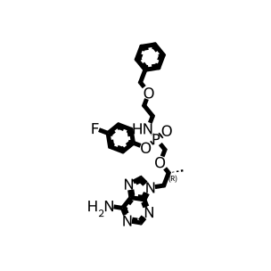 C[C@H](Cn1cnc2c(N)ncnc21)OCP(=O)(NCCOCc1ccccc1)Oc1ccc(F)cc1